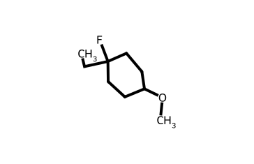 CCC1(F)CCC(OC)CC1